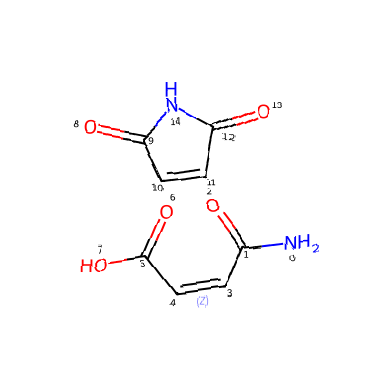 NC(=O)/C=C\C(=O)O.O=C1C=CC(=O)N1